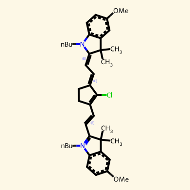 CCCCN1/C(=C/C=C2\CCC(/C=C/C3=[N+](CCCC)c4ccc(OC)cc4C3(C)C)=C2Cl)C(C)(C)c2cc(OC)ccc21